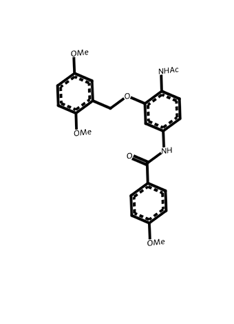 COc1ccc(C(=O)Nc2ccc(NC(C)=O)c(OCc3cc(OC)ccc3OC)c2)cc1